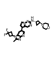 Cc1nc2ncc(-c3ccn4nc(N[C@H]5C[C@H](N6CCOCC6)C5)ncc34)cc2n1C1CC(F)(F)C1